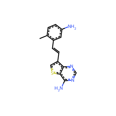 Cc1ccc(N)cc1C=Cc1csc2c(N)ncnc12